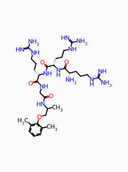 Cc1cccc(C)c1OCC(C)NC(=O)CNC(=O)[C@H](CCCNC(=N)N)NC(=O)[C@H](CCCNC(=N)N)NC(=O)[C@@H](N)CCCNC(=N)N